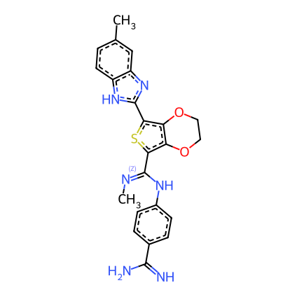 C/N=C(\Nc1ccc(C(=N)N)cc1)c1sc(-c2nc3cc(C)ccc3[nH]2)c2c1OCCO2